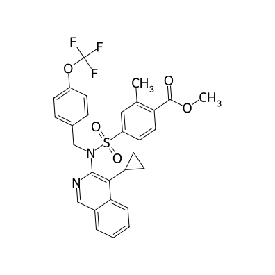 COC(=O)c1ccc(S(=O)(=O)N(Cc2ccc(OC(F)(F)F)cc2)c2ncc3ccccc3c2C2CC2)cc1C